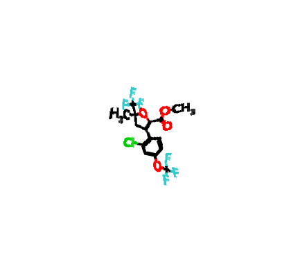 COC(=O)[C@@H]1O[C@@](C)(C(F)(F)F)C[C@@H]1c1ccc(OC(F)(F)F)cc1Cl